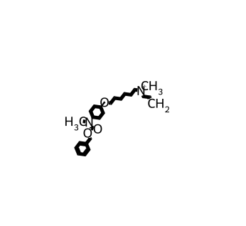 C=CCN(C)CCCCCCO[C@H]1CC[C@H](N(C)C(=O)OCc2ccccc2)CC1